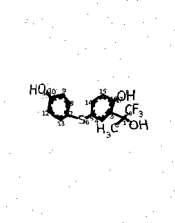 CC(O)(c1cc(Sc2ccc(O)cc2)ccc1O)C(F)(F)F